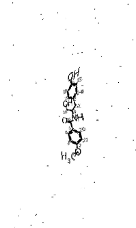 COc1ccc(C(=O)NC(CO)Cc2ccc(O)cc2)cc1